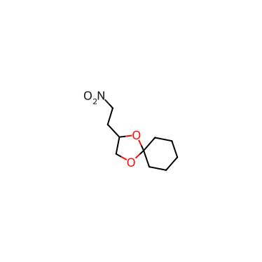 O=[N+]([O-])CCC1COC2(CCCCC2)O1